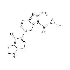 Nc1nc2ccc(-c3ccc4[nH]ccc4c3Cl)cn2c1C(=O)[C@@H]1C[C@@H]1F